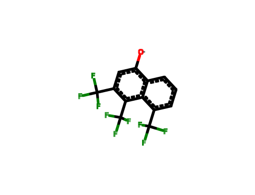 [O]c1cc(C(F)(F)F)c(C(F)(F)F)c2c(C(F)(F)F)cccc12